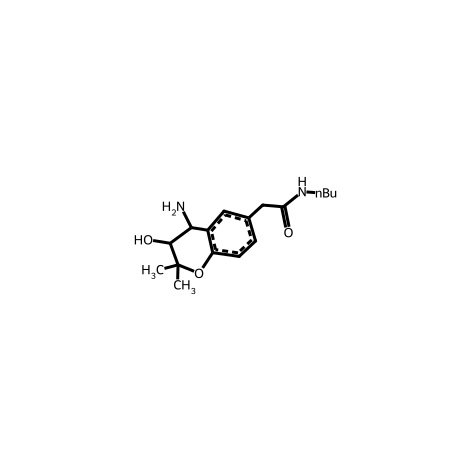 CCCCNC(=O)Cc1ccc2c(c1)C(N)C(O)C(C)(C)O2